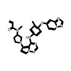 C=CC(=O)N(C)C1CCN(c2ccn3ncnc(Nc4ccc(Oc5ccn6ncnc6c5)c(C)c4)c23)C1